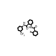 O=C(Nc1ccccc1C(=O)Nc1cccc(C(F)(F)F)c1)c1ccccc1I